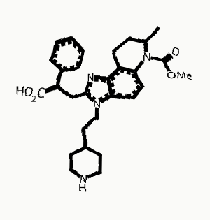 COC(=O)N1c2ccc3c(nc(CC(C(=O)O)c4ccccc4)n3CCC3CCNCC3)c2CCC1C